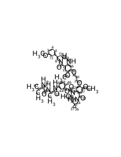 COc1cccc(C2=CN3C(=O)c4cc(OC)c(OCCCOc5cc6c(cc5OC)C(=O)N5CC7(CC7)C[C@H]5C(O)N6C(=O)OCc5ccc(NC(=O)[C@H](C)NC(=O)[C@@H](N)C(C)C)cc5)cc4NC[C@@H]3C2)c1